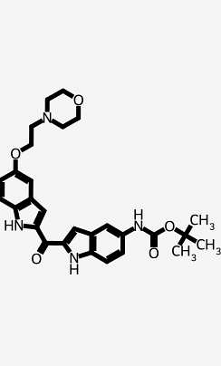 CC(C)(C)OC(=O)Nc1ccc2[nH]c(C(=O)c3cc4cc(OCCN5CCOCC5)ccc4[nH]3)cc2c1